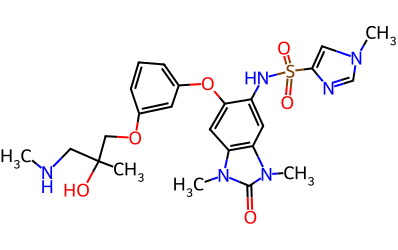 CNCC(C)(O)COc1cccc(Oc2cc3c(cc2NS(=O)(=O)c2cn(C)cn2)n(C)c(=O)n3C)c1